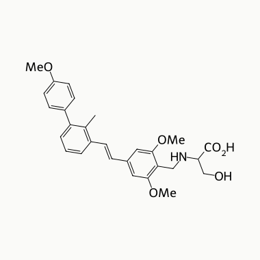 COc1ccc(-c2cccc(C=Cc3cc(OC)c(CNC(CO)C(=O)O)c(OC)c3)c2C)cc1